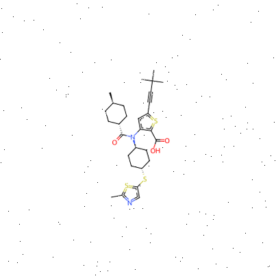 Cc1ncc(S[C@H]2CC[C@H](N(c3cc(C#CC(C)(C)C)sc3C(=O)O)C(=O)[C@H]3CC[C@H](C)CC3)CC2)s1